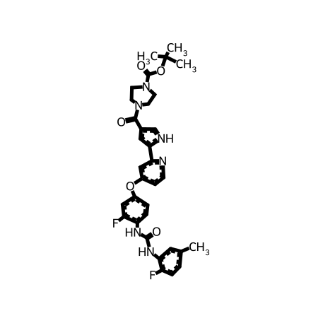 Cc1ccc(F)c(NC(=O)Nc2ccc(Oc3ccnc(-c4cc(C(=O)N5CCN(C(=O)OC(C)(C)C)CC5)c[nH]4)c3)cc2F)c1